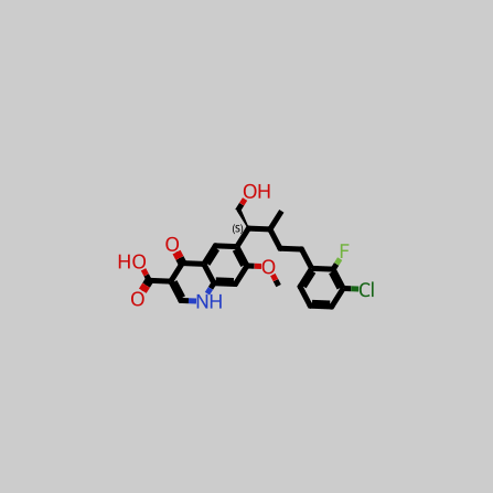 COc1cc2[nH]cc(C(=O)O)c(=O)c2cc1[C@@H](CO)C(C)CCc1cccc(Cl)c1F